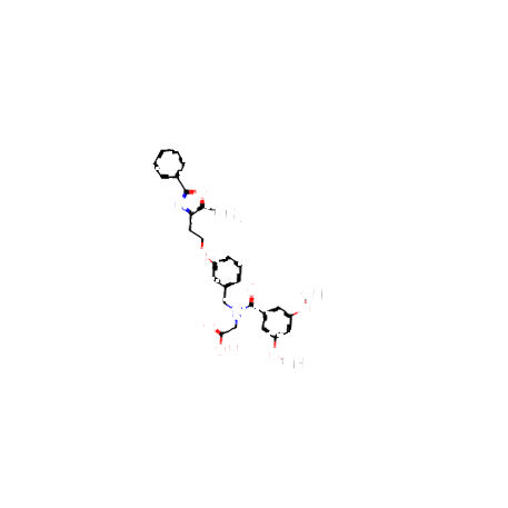 COc1cc(OC)cc(C(=O)N(CC(=O)O)Cc2cccc(OCCc3nc(-c4ccccc4)oc3C)c2)c1